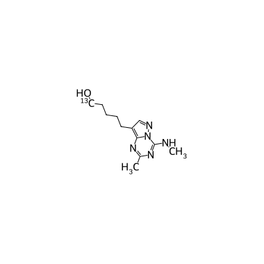 CNc1nc(C)nc2c(CCCC[13CH2]O)cnn12